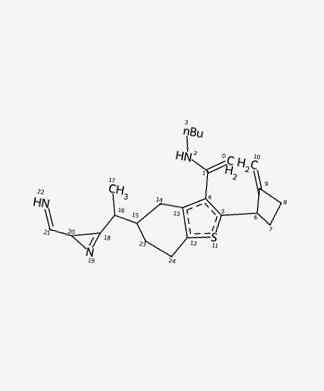 C=C(NCCCC)c1c(C2CCC2=C)sc2c1CC(C(C)C1=NC1C=N)CC2